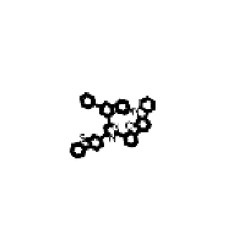 C1=CC2c3ccc4c(oc5c(-c6nc(-c7cccc(-c8ccccc8)c7)cc(-c7ccc8c(c7)sc7ccccc78)n6)cccc54)c3N(c3ccccc3)C2C=C1